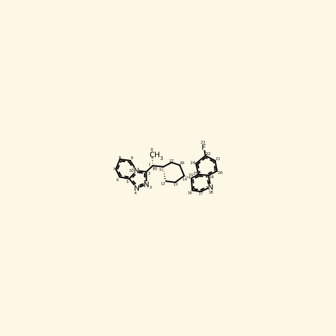 C[C@@H](c1nnc2ccccn12)[C@H]1CC[C@@H](c2ccnc3ccc(F)cc32)CC1